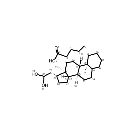 CCCCC(=O)O.C[C@]12CC[C@H]3[C@@H](CCC4CCCC[C@@]43C)[C@@H]1CC[C@@H]2CC(O)O